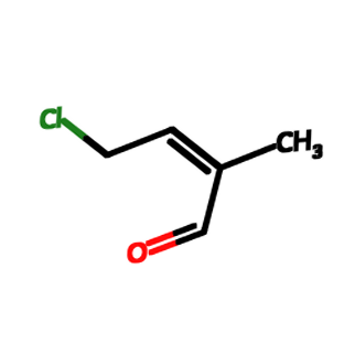 CC(C=O)=CCCl